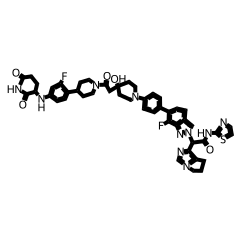 O=C1CCC(Nc2ccc(C3CCN(C(=O)CC4(O)CCN(c5ccc(-c6ccc7cn(C(C(=O)Nc8nccs8)c8ncn9c8CCC9)nc7c6F)cc5)CC4)CC3)c(F)c2)C(=O)N1